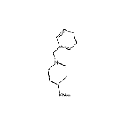 CNC1CCN(CC2=CCCC=C2)CC1